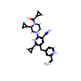 C=Cc1cc(Cc2cc(C#N)c(N3CCN(C(=O)C4CC4)C(C4CC4)C3)nc2C2CC2)ccn1